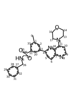 Cc1cc(-c2ccc3nccc(N4CCOCC4)c3n2)cc(S(=O)(=O)NCc2ccccc2)c1